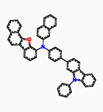 c1ccc(-n2c3ccccc3c3ccc(-c4ccc(N(c5ccc6ccccc6c5)c5cccc6c5oc5c7ccccc7ccc65)cc4)cc32)cc1